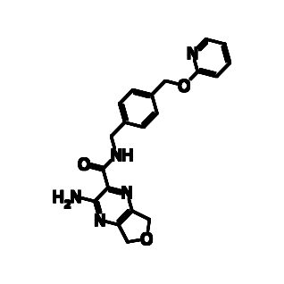 Nc1nc2c(nc1C(=O)NCc1ccc(COc3ccccn3)cc1)COC2